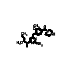 CCC[C@@H](C)Nc1cc(Cc2ccc(C(=O)N3CCNCC3)cc2OC)nc(N)n1